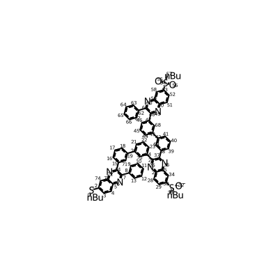 CCCCSc1ccc2nc(-c3ccccc3)c(-c3cccc(-c4cccc(-c5nc6ccc([S+]([O-])CCCC)cc6nc5-c5cccc(-c6cccc(-c7nc8ccc(S(=O)(=O)CCCC)cc8nc7-c7ccccc7)c6)c5)c4)c3)nc2c1